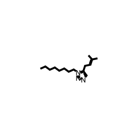 CCCCCCCCn1nncc1CC=C(C)C